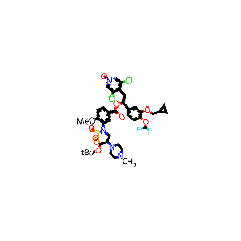 COc1ccc(C(=O)OC(Cc2c(Cl)c[n+]([O-])cc2Cl)c2ccc(OC(F)F)c(OCC3CC3)c2)cc1N(CC(C(=O)OC(C)(C)C)N1CCN(C)CC1)[SH](=O)=O